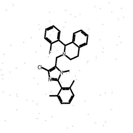 Cc1cccc(C)c1-c1nc(Cl)c(CN2CCc3ccccc3C2c2ccccc2F)n1C